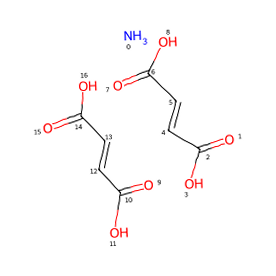 N.O=C(O)/C=C/C(=O)O.O=C(O)/C=C/C(=O)O